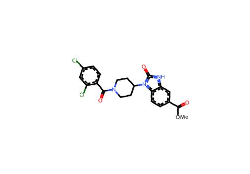 COC(=O)c1ccc2c(c1)[nH]c(=O)n2C1CCN(C(=O)c2ccc(Cl)cc2Cl)CC1